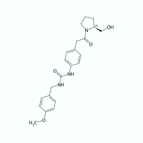 COc1ccc(CNC(=O)Nc2ccc(CC(=O)N3CCC[C@H]3CO)cc2)cc1